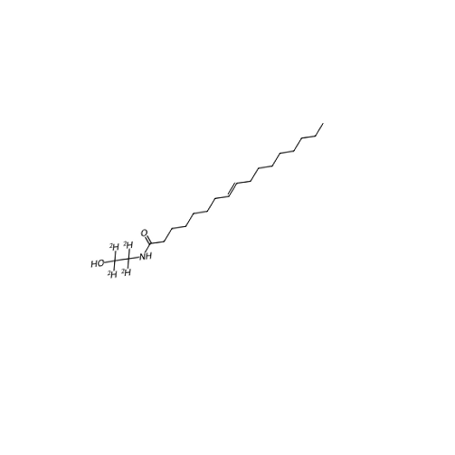 [2H]C([2H])(O)C([2H])([2H])NC(=O)CCCCCCC=CCCCCCCCC